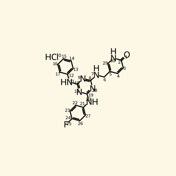 Cl.O=c1ccc(CNc2nc(Nc3ccccc3)nc(Nc3ccc(F)cc3)n2)c[nH]1